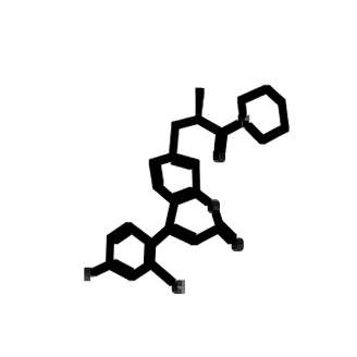 C[C@H](Cc1ccc2c(-c3ccc(F)cc3Cl)cc(=O)oc2c1)C(=O)N1CCCCC1